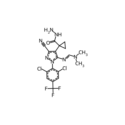 CN(C)C=Nc1c(C2(C(=O)NN)CC2)c(C#N)nn1-c1c(Cl)cc(C(F)(F)F)cc1Cl